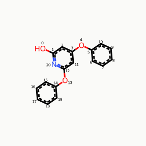 Oc1cc(Oc2ccccc2)cc(Oc2ccccc2)n1